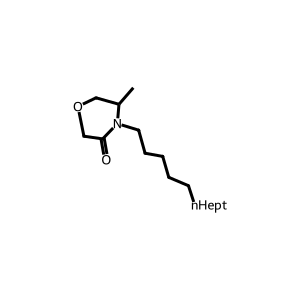 CCCCCCCCCCCCN1C(=O)COCC1C